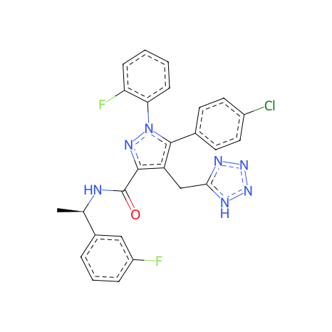 C[C@@H](NC(=O)c1nn(-c2ccccc2F)c(-c2ccc(Cl)cc2)c1Cc1nnn[nH]1)c1cccc(F)c1